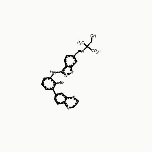 CC(CO)(N=Cc1ccc2c(Nc3cccc(-c4ccc5nccnc5c4)c3Br)nsc2c1)C(=O)O